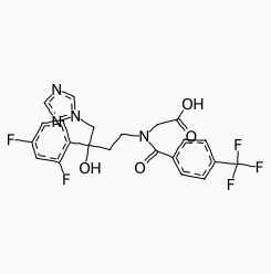 O=C(O)CN(CCC(O)(Cn1cncn1)c1ccc(F)cc1F)C(=O)c1ccc(C(F)(F)F)cc1